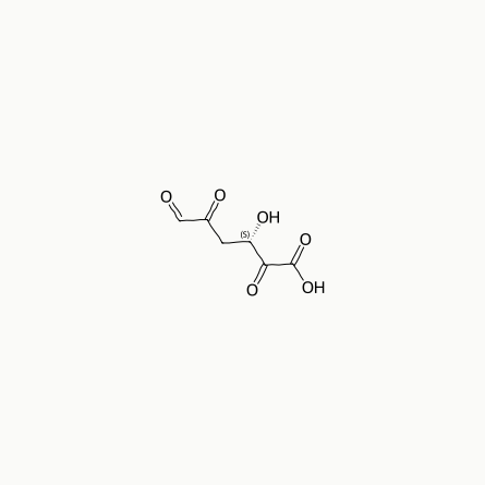 O=CC(=O)C[C@H](O)C(=O)C(=O)O